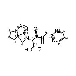 CC(=O)N1CCCC12CN([C@H](C(=O)NCc1ncccn1)[C@@H](C)O)C2=O